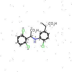 C[C@H](C(=O)O)c1ccc(Cl)c(NC(C(=O)O)c2c(Cl)cccc2Cl)c1